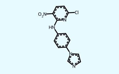 O=[N+]([O-])c1ccc(Cl)nc1Nc1ccc(-n2ccnc2)cc1